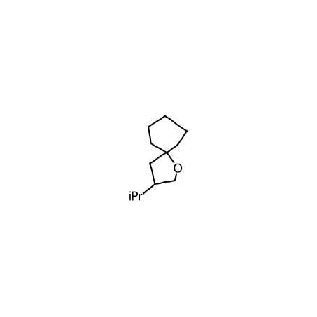 CC(C)C1COC2(CCCCC2)C1